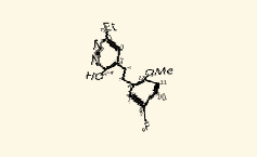 CCc1cc(CCc2cc(F)ccc2OC)c(O)nn1